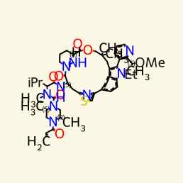 C=CC(=O)N1C[C@H](C)N(C(=O)N(C)C(C(=O)N[C@H]2Cc3nc(cs3)-c3ccc4c(c3)c(c(-c3cccnc3[C@H](C)OC)n4CC)CC(C)(C)COC(=O)[C@@H]3CCCN(N3)C2=O)C(C)C)C[C@H]1C